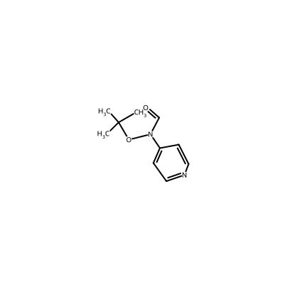 CC(C)(C)ON(C=O)c1ccncc1